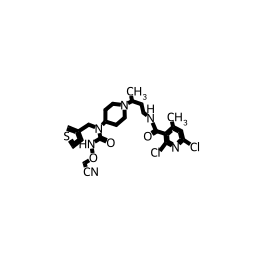 Cc1cc(Cl)nc(Cl)c1C(=O)NCCC(C)N1CCC(N(Cc2ccsc2)C(=O)NOCC#N)CC1